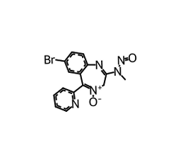 CN(N=O)C1=Nc2ccc(Br)cc2C(c2ccccn2)=[N+]([O-])C1